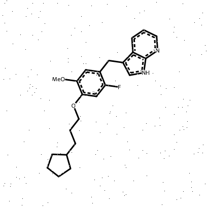 COc1cc(Cc2c[nH]c3ncccc23)c(F)cc1OCCCC1CCCC1